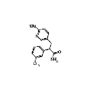 CC(C)(C)c1ccc(CC(C(N)=O)c2cccc(C(F)(F)F)c2)cn1